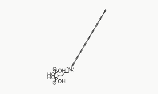 C#CC#CC#CC#CC#CC#CC#CC#CC#C[N+](C)(C)CCCC(P(=O)(O)O)P(=O)(O)O